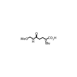 COCNC(=O)CCN(C(=O)O)C(C)(C)C